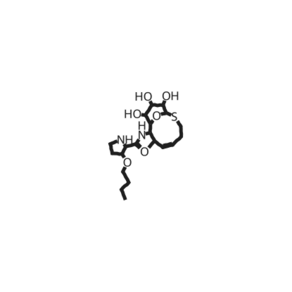 CCCCOC1CCNC1C(=O)NC1C(C)/C=C\CCSC2OC1C(O)C(O)C2O